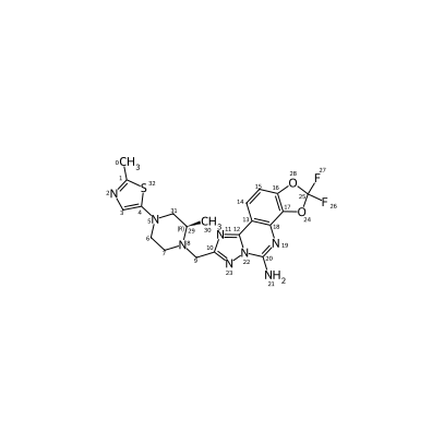 Cc1ncc(N2CCN(Cc3nc4c5ccc6c(c5nc(N)n4n3)OC(F)(F)O6)[C@H](C)C2)s1